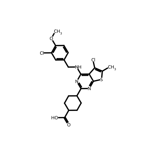 COc1ccc(CNc2nc(C3CCC(C(=O)O)CC3)nc3sc(C)c(Cl)c23)cc1Cl